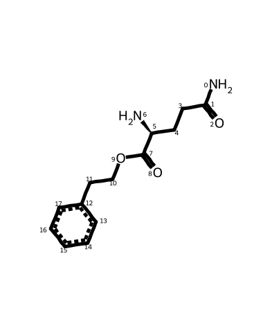 NC(=O)CC[C@H](N)C(=O)OCCc1ccccc1